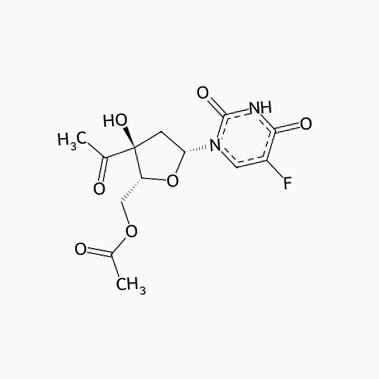 CC(=O)OC[C@H]1O[C@@H](n2cc(F)c(=O)[nH]c2=O)C[C@@]1(O)C(C)=O